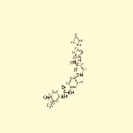 Cc1cc(NC(=O)Nc2ccc(Cl)c(C(F)(F)F)c2)ccc1-c1nccc(Nc2cc(C3CCC3)n[nH]2)n1